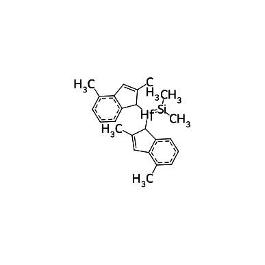 CC1=Cc2c(C)cccc2[CH]1[Hf]([CH]1C(C)=Cc2c(C)cccc21)=[Si](C)C